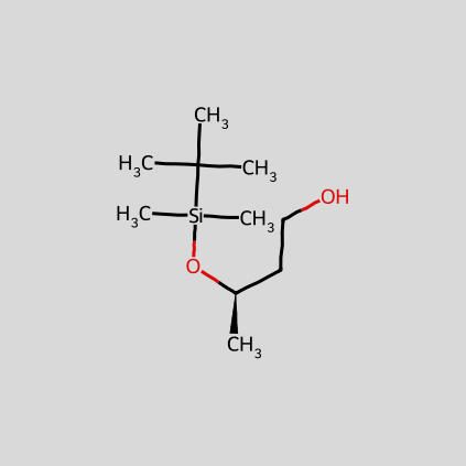 C[C@H](CCO)O[Si](C)(C)C(C)(C)C